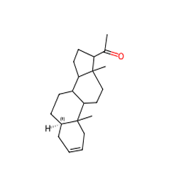 CC(=O)C1CCC2C3CC[C@@H]4CC=CCC4(C)C3CCC12C